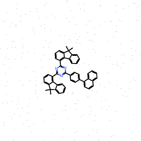 CC1(C)c2ccccc2-c2c(-c3nc(-c4ccc(-c5cccc6ccccc56)cc4)nc(-c4cccc5c4-c4ccccc4C5(C)C)n3)cccc21